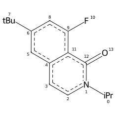 CC(C)n1ccc2cc(C(C)(C)C)cc(F)c2c1=O